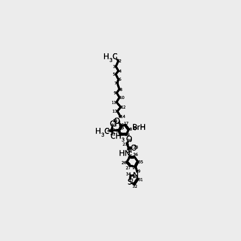 Br.CCCCCCCCCCCCCCOc1ccc(OCC(=O)Nc2ccc(CN3C=CSC3)cc2)cc1C(C)(C)C